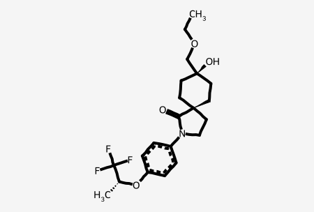 CCOC[C@]1(O)CC[C@]2(CCN(c3ccc(O[C@H](C)C(F)(F)F)cc3)C2=O)CC1